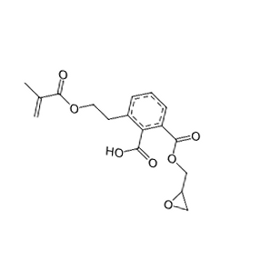 C=C(C)C(=O)OCCc1cccc(C(=O)OCC2CO2)c1C(=O)O